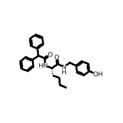 CCCC[C@H](NC(=O)C(c1ccccc1)c1ccccc1)C(=O)NCc1ccc(O)cc1